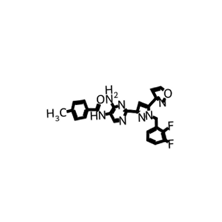 Cc1ccc(C(=O)Nc2cnc(-c3cc(-c4ccon4)n(Cc4cccc(F)c4F)n3)nc2N)cc1